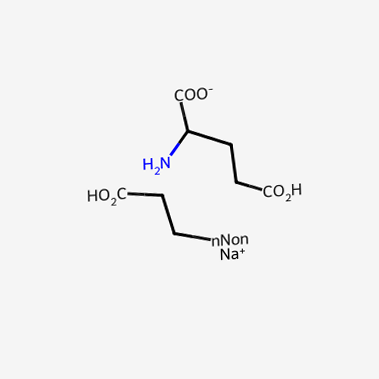 CCCCCCCCCCCC(=O)O.NC(CCC(=O)O)C(=O)[O-].[Na+]